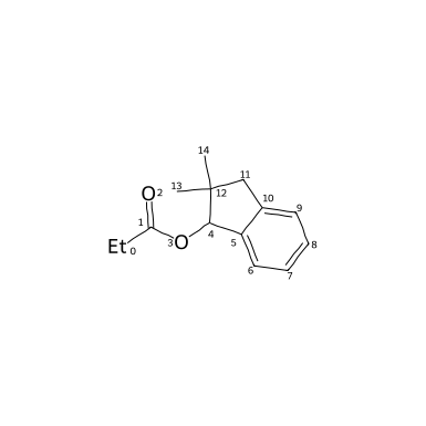 CCC(=O)OC1c2ccccc2CC1(C)C